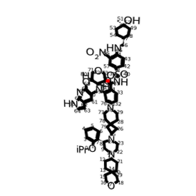 CC(C)Oc1ccccc1[C@H]1CN(C2CCC3(CCOCC3)CC2)CCN1C1CC2(CCN(c3ccc(C(=O)NS(=O)(=O)c4ccc(NC[C@H]5CC[C@](C)(O)CC5)c([N+](=O)[O-])c4)c(N4c5cc6cc[nH]c6nc5O[C@H]5COCC[C@@H]54)c3)CC2)C1